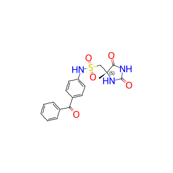 C[C@]1(CS(=O)(=O)Nc2ccc(C(=O)c3ccccc3)cc2)NC(=O)NC1=O